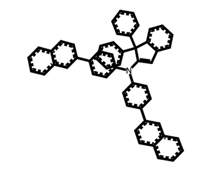 C1=C(N(c2ccc(-c3ccc4ccccc4c3)cc2)c2ccc(-c3ccc4ccccc4c3)cc2)C(c2ccccc2)(c2ccccc2)c2ccccc21